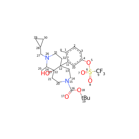 Cc1ccc(OS(=O)(=O)C(F)(F)F)cc1C12CCN(C(=O)OC(C)(C)C)CCC1(O)C(C)N(CC1CC1)CC2